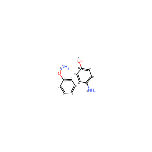 NOc1ccccc1.Nc1ccc(O)cc1